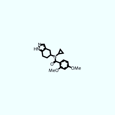 COc1ccc(C(=O)N(C2CC2)C2CCc3[nH]ncc3C2)c(OC)c1